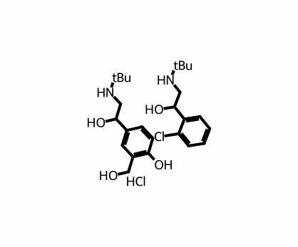 CC(C)(C)NCC(O)c1ccc(O)c(CO)c1.CC(C)(C)NCC(O)c1ccccc1Cl.Cl